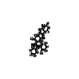 Cc1ccc2c(n1)sc1c3cc(C)c(-c4nc5ccccc5n4-c4c(C)cccc4C)cc3sc21